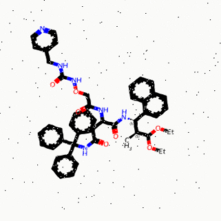 CCOC(OCC)[C@@H](C)[C@H](NC(=O)C(CC(=O)NC(c1ccccc1)(c1ccccc1)c1ccccc1)NC(=O)CONC(=O)NCc1ccncc1)c1cccc2ccccc12